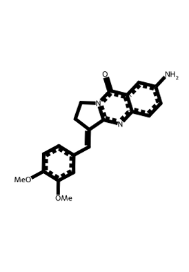 COc1ccc(C=C2CCn3c2nc2ccc(N)cc2c3=O)cc1OC